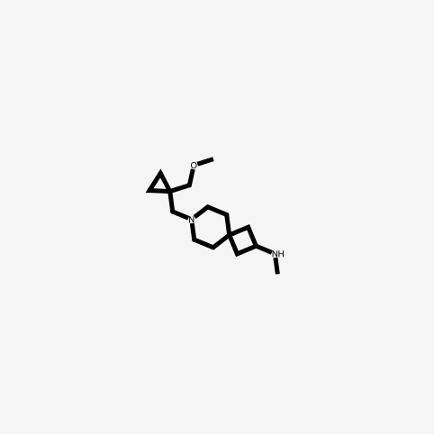 CNC1CC2(CCN(CC3(COC)CC3)CC2)C1